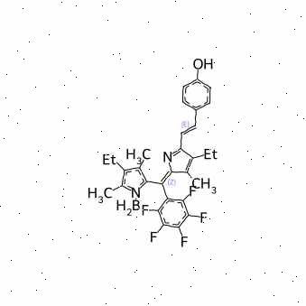 Bn1c(C)c(CC)c(C)c1/C(=C1N=C(/C=C/c2ccc(O)cc2)C(CC)=C\1C)c1c(F)c(F)c(F)c(F)c1F